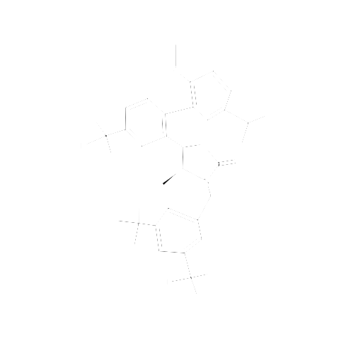 COc1ccc(C(C)C)cc1-c1ccc(C(F)(F)F)cc1C1OC(=O)N(Cc2cc(C(F)(F)F)cc(C(F)(F)F)c2)[C@H]1C